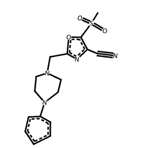 CS(=O)(=O)c1oc(CN2CCN(c3ccccc3)CC2)nc1C#N